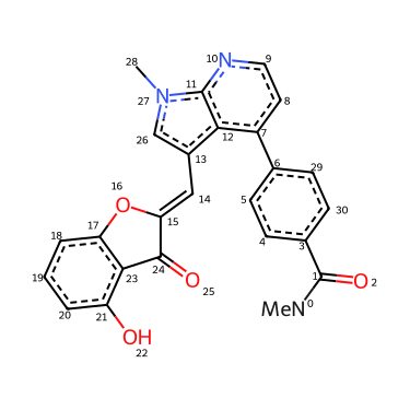 CNC(=O)c1ccc(-c2ccnc3c2c(C=C2Oc4cccc(O)c4C2=O)cn3C)cc1